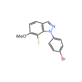 COc1ccc2cnn(-c3ccc(Br)cc3)c2c1F